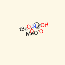 COC(=O)[C@H]1[C@H](O)CCN1C(=O)OC(C)(C)C